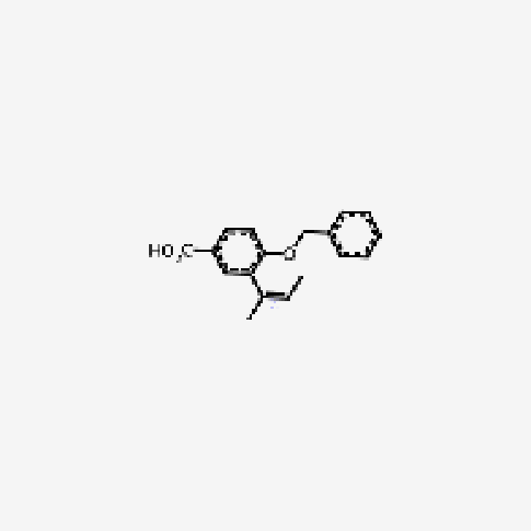 C/C=C(/C)c1cc(C(=O)O)ccc1OCc1ccccc1